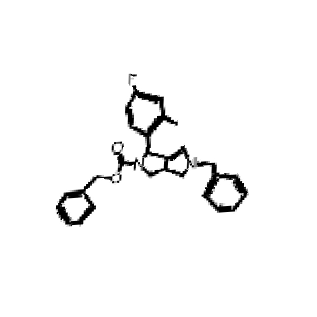 Cc1cc(F)ccc1C1C2=CN(Cc3ccccc3)CC2CN1C(=O)OCc1ccccc1